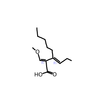 CC/C=C(CCCCC)/C(=C\OC)C(=O)O